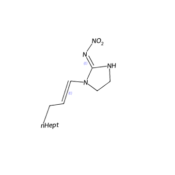 CCCCCCCC/C=C/N1CCN/C1=N\[N+](=O)[O-]